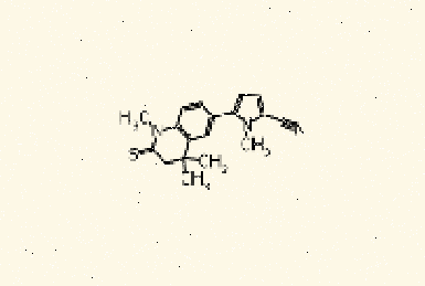 CN1C(=S)CC(C)(C)c2cc(-c3ccc(C#N)n3C)ccc21